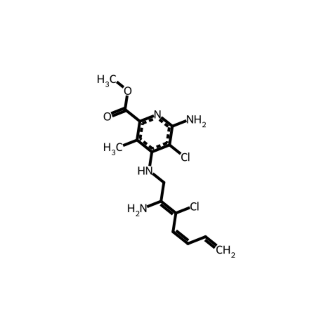 C=C/C=C\C(Cl)=C(/N)CNc1c(C)c(C(=O)OC)nc(N)c1Cl